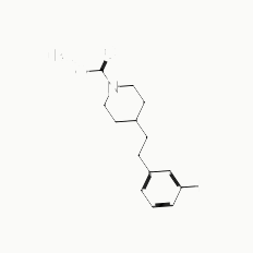 CC(C)(C)OC(=O)N1CCC(CCc2cccc(F)c2)CC1